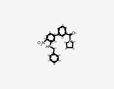 O=C(c1cccc(-c2ccc([N+](=O)[O-])c(NCc3ccccc3)c2)c1)N1CCCC1